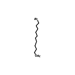 CC(=O)OCCCCCCCCCCC(C)C